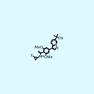 C=C(NC1CC1F)c1c(OC)cc(-c2cnn3cc(C(C)(C)C#N)ccc23)cc1OC